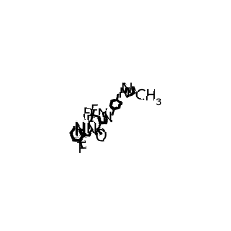 Cc1cnn(Cc2ccc(Cn3cc(C(=O)NCc4ncccc4F)c(C(F)(F)F)n3)cc2)c1